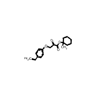 C=Cc1ccc(OCC(=O)C(=O)OC2(C)CCCCC2)cc1